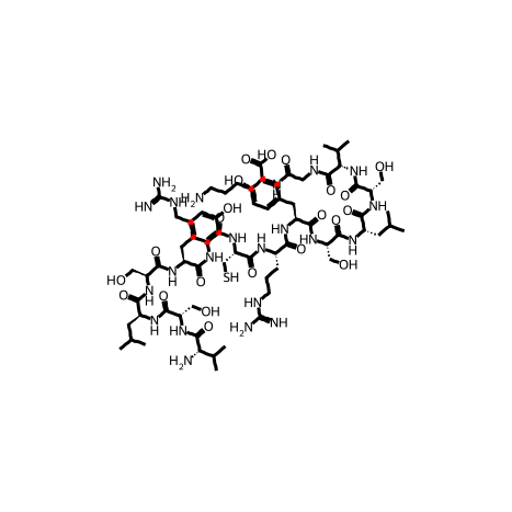 CC(C)C[C@H](NC(=O)[C@H](CO)NC(=O)[C@H](Cc1ccc(O)cc1)NC(=O)[C@H](CCCNC(=N)N)NC(=O)[C@H](CS)NC(=O)[C@H](CCCNC(=N)N)NC(=O)[C@H](Cc1ccc(O)cc1)NC(=O)[C@H](CO)NC(=O)[C@H](CC(C)C)NC(=O)[C@H](CO)NC(=O)[C@@H](N)C(C)C)C(=O)N[C@@H](CO)C(=O)N[C@H](C(=O)NCC(=O)N[C@@H](CCCCN)C(=O)O)C(C)C